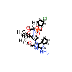 CCC[C@@H](CCOP(=O)(N[C@@H](C)C(=O)OC(C)C)Oc1ccc(Cl)cc1)n1c(COCC)nc2c(N)nc3ccccc3c21